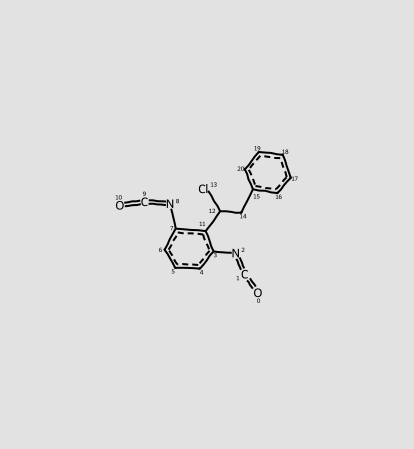 O=C=Nc1cccc(N=C=O)c1C(Cl)Cc1ccccc1